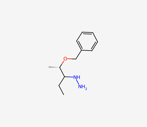 CCC(NN)[C@H](C)OCc1ccccc1